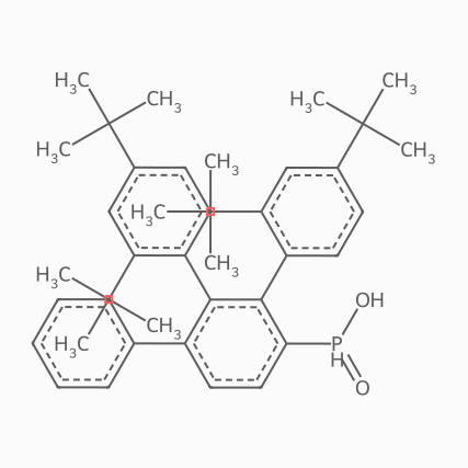 CC(C)(C)c1ccc(-c2c(-c3ccccc3)ccc([PH](=O)O)c2-c2ccc(C(C)(C)C)cc2C(C)(C)C)c(C(C)(C)C)c1